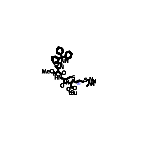 CON=C(C(=O)NC1C(=O)N2C(C(=O)OC(C)(C)C)=C(/C=C/CSc3nnnn3C)SCC12)c1csc(NC(c2ccccc2)(c2ccccc2)c2ccccc2)n1